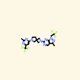 Cc1nc(N2CCC3(C2)CN(c2ncc4c(C)nn(CC(F)(F)F)c4n2)C3)cc(C(F)(F)F)n1